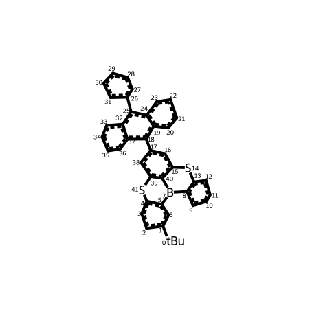 CC(C)(C)c1ccc2c(c1)B1c3ccccc3Sc3cc(-c4c5ccccc5c(-c5ccccc5)c5ccccc45)cc(c31)S2